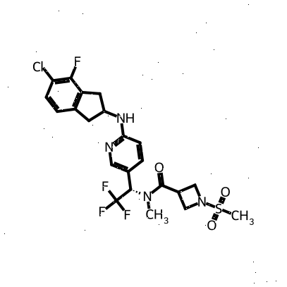 CN(C(=O)C1CN(S(C)(=O)=O)C1)[C@@H](c1ccc(NC2Cc3ccc(Cl)c(F)c3C2)nc1)C(F)(F)F